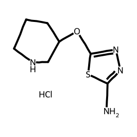 Cl.Nc1nnc(OC2CCCNC2)s1